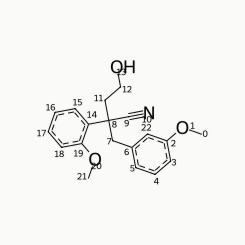 COc1cccc(CC(C#N)(CCO)c2ccccc2OC)c1